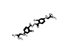 CCc1cc([SiH2]C=C(C)C)ccc1C(=O)OOC(=O)c1ccc([SiH2]C=C(C)C)cc1CC